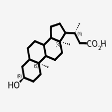 C[C@H](CC(=O)O)C1CCC2C3CCC4C[C@H](O)CC[C@]4(C)C3CC[C@@]21C